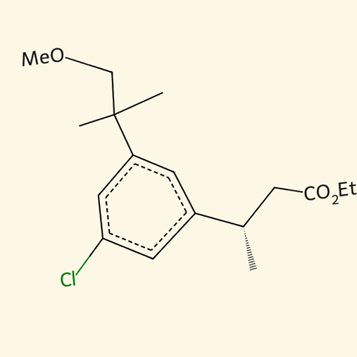 CCOC(=O)C[C@H](C)c1cc(Cl)cc(C(C)(C)COC)c1